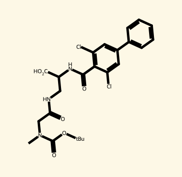 CN(CC(=O)NCC(NC(=O)c1c(Cl)cc(-c2ccccc2)cc1Cl)C(=O)O)C(=O)OC(C)(C)C